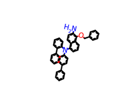 Nc1ccc2c(N(c3ccc(-c4ccccc4)cc3)c3ccccc3-c3ccccc3)cccc2c1OCc1ccccc1